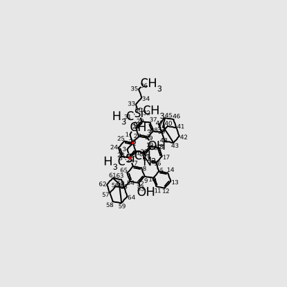 CCCC[Si](C)(C)c1cc(-c2ccccc2-c2cccc(-c3ccccc3-c3cc([Si](C)(C)CCCC)cc(C45CC6CC(CC(C6)C4)C5)c3O)n2)c(O)c(C23CC4CC(CC(C4)C2)C3)c1